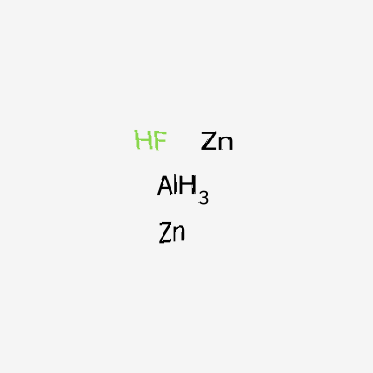 F.[AlH3].[Zn].[Zn]